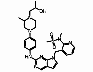 CC(O)CN1CCN(c2ccc(Nc3ncc4ccn(Cc5cccnc5N(C)S(C)(=O)=O)c4n3)cc2)CC1C